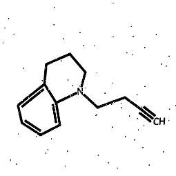 C#CCCN1CCCc2ccccc21